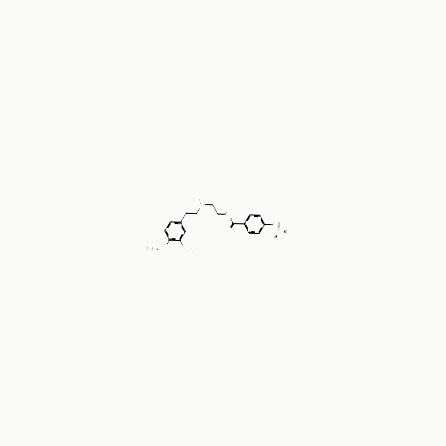 CCN(CCNC(=O)c1ccc(NS(C)(=O)=O)cc1)CCc1ccc(OC)c(OC)c1